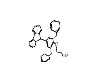 OCCOc1c(Cc2ccccc2)cc(C2c3ccccc3-c3ccccc32)cc1Cc1ccccc1